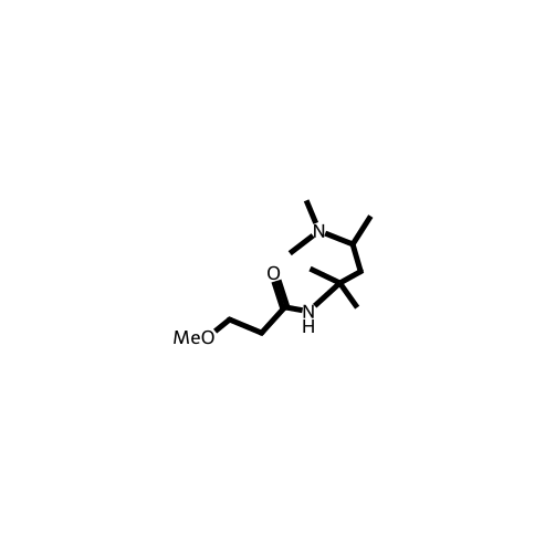 COCCC(=O)NC(C)(C)CC(C)N(C)C